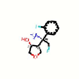 N[C@@](CF)(c1ccccc1F)[C@H]1COC[C@H]1O